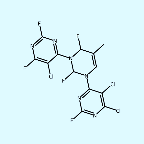 CC1=[C]N(c2nc(F)nc(Cl)c2Cl)C(F)N(c2nc(F)nc(F)c2Cl)C1F